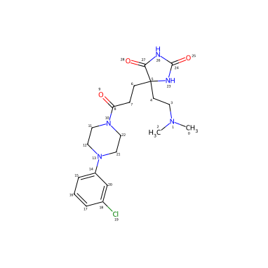 CN(C)CCC1(CCC(=O)N2CCN(c3cccc(Cl)c3)CC2)NC(=O)NC1=O